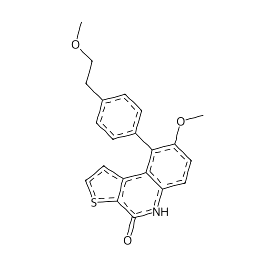 COCCc1ccc(-c2c(OC)ccc3[nH]c(=O)c4sccc4c23)cc1